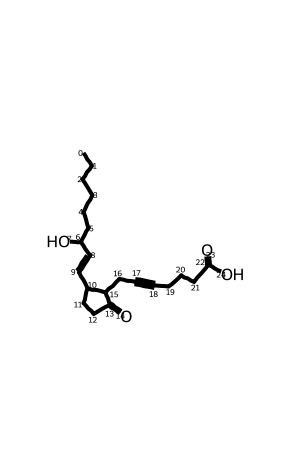 CCCCCCC(O)/C=C/C1CCC(=O)C1CC#CCCCC(=O)O